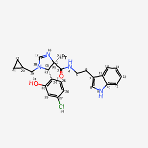 CC(C)[C@@]1(C(=O)NCCc2c[nH]c3ccccc23)N=CN(CC2CC2)[C@H]1c1ccc(Cl)cc1O